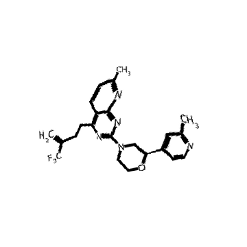 C=C(CCc1nc(N2CCO[C@H](c3ccnc(C)c3)C2)nc2nc(C)ccc12)C(F)(F)F